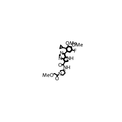 COCC(=O)N1CC[C@@H](NC(=O)c2c[nH]c3c(-c4cc(F)c(OC)c(OC)c4C4CC4)ncnc23)C1